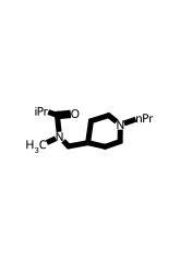 CCCN1CCC(CN(C)C(=O)C(C)C)CC1